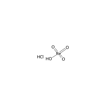 Cl.[O]=[Re](=[O])(=[O])[OH]